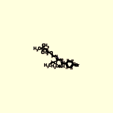 CCOC(=N\COCC[Si](C)(C)C)/N=C(\NC)c1ccc(Br)cc1